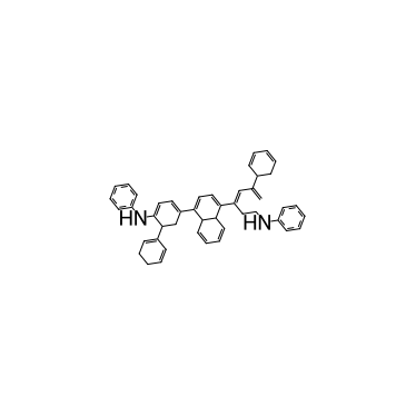 C=C(/C=C(\CCNc1ccccc1)C1=CC=C(C2=CC=C(Nc3ccccc3)C(C3=CCCC=C3)C2)C2C=CC=CC12)C1C=CC=CC1